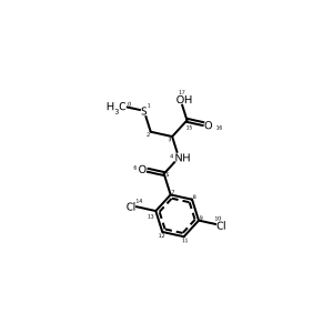 CSCC(NC(=O)c1cc(Cl)ccc1Cl)C(=O)O